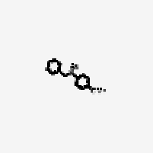 COc1ccc(N(Cc2ccccc2)C(C)=O)cc1